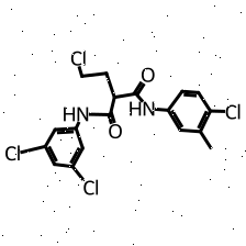 Cc1cc(NC(=O)C(CCCl)C(=O)Nc2cc(Cl)cc(Cl)c2)ccc1Cl